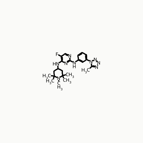 Cc1nnnn1-c1cccc(Nc2ncc(F)c(NC3CC(C)(C)N(C)C(C)(C)C3)n2)c1